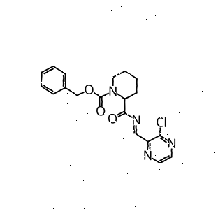 O=C(N=Cc1nccnc1Cl)C1CCCCN1C(=O)OCc1ccccc1